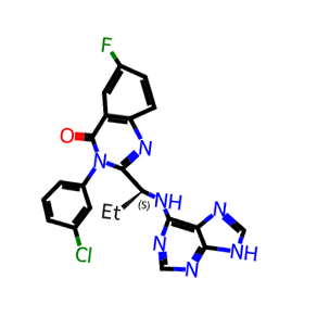 CC[C@H](Nc1ncnc2[nH]cnc12)c1nc2ccc(F)cc2c(=O)n1-c1cccc(Cl)c1